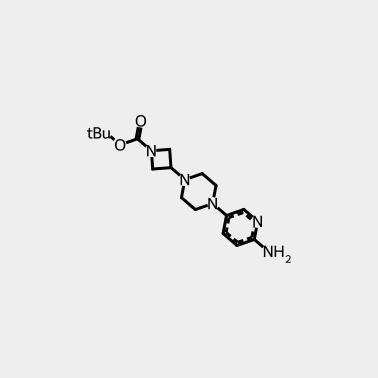 CC(C)(C)OC(=O)N1CC(N2CCN(c3ccc(N)nc3)CC2)C1